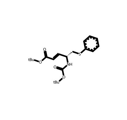 CC(C)(C)OC(=O)/C=C/[C@H](CSc1ccccc1)NC(=O)OC(C)(C)C